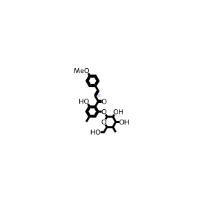 COc1ccc(/C=C/C(=O)c2c(O)cc(C)cc2OC2OC(CO)C(C)C(O)C2O)cc1